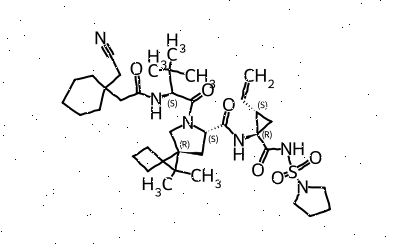 C=C[C@@H]1C[C@]1(NC(=O)[C@@H]1C[C@@]2(CN1C(=O)[C@@H](NC(=O)CC1(CC#N)CCCCC1)C(C)(C)C)C(C)(C)C21CCC1)C(=O)NS(=O)(=O)N1CCCC1